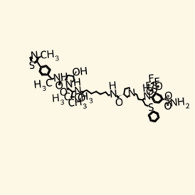 Cc1ncsc1-c1ccc(C(C)NC(=O)[C@@H]2C[C@@H](O)CN2C(=O)C(NC(=O)CCCCCCNC(=O)[C@@H]2CCN(CCC(CSc3ccccc3)Nc3ccc(S(N)(=O)=O)cc3S(=O)(=O)C(F)(F)F)C2)C(C)(C)C)cc1